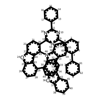 c1ccc(-c2cccc(-c3nc(-c4ccccc4)nc(-c4ccc5oc6cccc(-c7cccc8c7oc7ccccc78)c6c5c4-n4c5ccccc5c5ccccc54)n3)c2)cc1